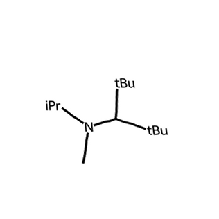 CC(C)N(C)C(C(C)(C)C)C(C)(C)C